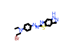 CCN(CCBr)c1ccc(N=Nc2nc3cc4[nH]ncc4cc3s2)cc1